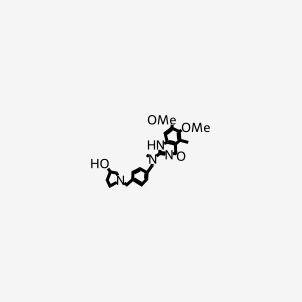 COc1cc2[nH]c(N(C)Cc3ccc(CN4CCC(O)C4)cc3)nc(=O)c2c(C)c1OC